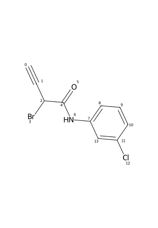 C#CC(Br)C(=O)Nc1cccc(Cl)c1